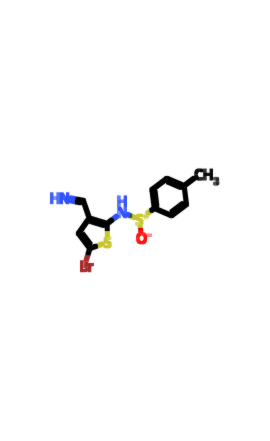 Cc1ccc([S+]([O-])Nc2sc(Br)cc2C=N)cc1